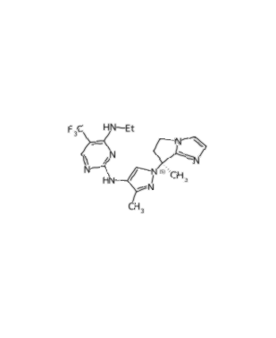 CCNc1nc(Nc2cn([C@@]3(C)CCn4ccnc43)nc2C)ncc1C(F)(F)F